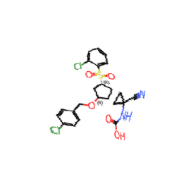 N#CC1(NC(=O)O)CC1.O=S(=O)(c1ccccc1Cl)[C@@H]1CC[C@@H](OCc2ccc(Cl)cc2)C1